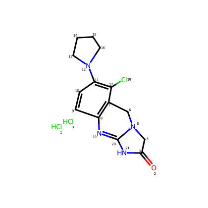 Cl.Cl.O=C1CN2Cc3c(ccc(N4CCCC4)c3Cl)N=C2N1